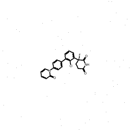 O=C1CC[C@](F)(c2cccc(-c3ccc(-n4ccccc4=O)cc3)c2Cl)C(=O)N1